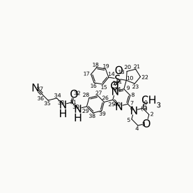 C[C@H]1COCCN1c1cc(C2(S(=O)(=O)c3ccccc3)CCCC2)nc(-c2ccc(NC(=O)NCCC#N)cc2)n1